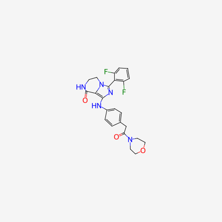 O=C1NCCn2c(-c3c(F)cccc3F)nc(Nc3ccc(CC(=O)N4CCOCC4)cc3)c21